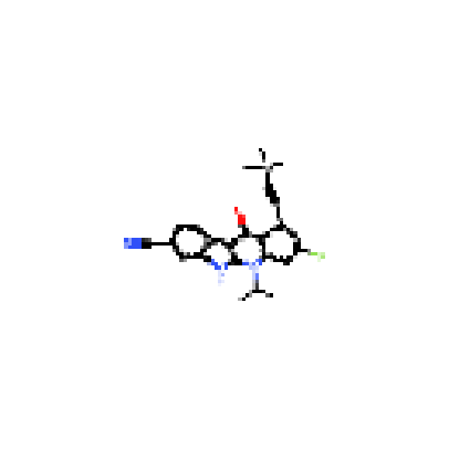 CC(C)n1c2cc(F)cc(C#C[Si](C)(C)C)c2c(=O)c2c3ccc(C#N)cc3[nH]c21